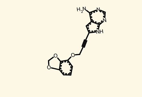 Nc1ncnc2[nH]c(C#CCOc3cccc4c3OCO4)cc12